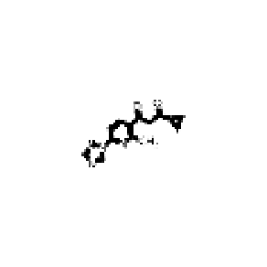 Cc1nc(-n2cncn2)ccc1C(=O)CC(=O)C1CC1